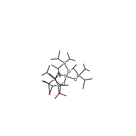 CC(C)[Si]([O][Ti]([O][Si](C(C)C)(C(C)C)C(C)C)([O][Si](C(C)C)(C(C)C)C(C)C)[O][Si](C(C)C)(C(C)C)C(C)C)(C(C)C)C(C)C